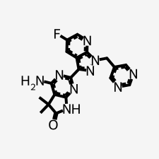 CC1(C)C(=O)Nc2nc(-c3nn(Cc4cncnc4)c4ncc(F)cc34)nc(N)c21